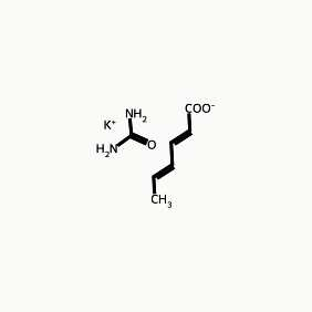 C/C=C/C=C/C(=O)[O-].NC(N)=O.[K+]